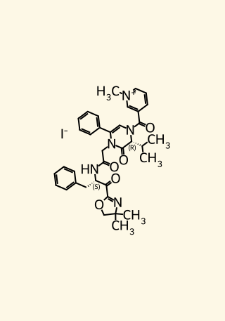 CC(C)[C@@H]1C(=O)N(CC(=O)N[C@@H](Cc2ccccc2)C(=O)C2=NC(C)(C)CO2)C(c2ccccc2)=CN1C(=O)c1ccc[n+](C)c1.[I-]